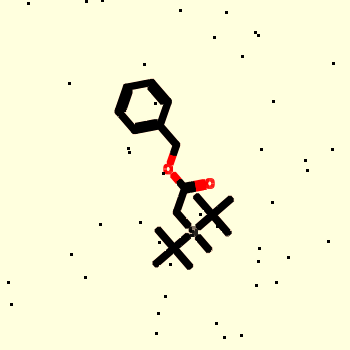 CC(C)(C)[Si](C)(CC(=O)OCc1ccccc1)C(C)(C)C